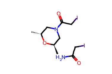 C[C@@H]1CN(C(=O)CI)C[C@@H](C)O1.NC(=O)CI